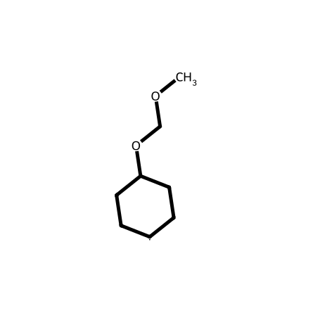 COCOC1CC[CH]CC1